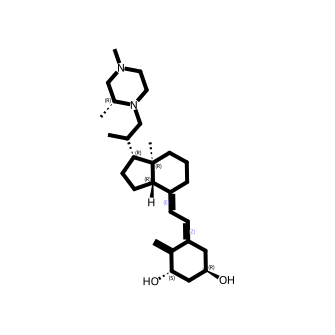 C=C1/C(=C\C=C2/CCC[C@]3(C)[C@@H](C(C)CN4CCN(C)C[C@H]4C)CC[C@@H]23)C[C@@H](O)C[C@@H]1O